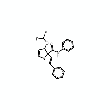 O=C(Nc1ccccc1)C1(/C=C/c2ccccc2)SC=CC1OC(F)F